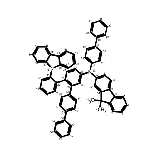 CC1(C)c2ccccc2-c2ccc(N(c3ccc(-c4ccccc4)cc3)c3ccc(-c4ccccc4-n4c5ccccc5c5ccccc54)c(-c4ccc(-c5ccccc5)cc4)c3)cc21